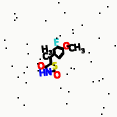 COc1ccc(C(C)=C2SC(=O)NC2=O)cc1F